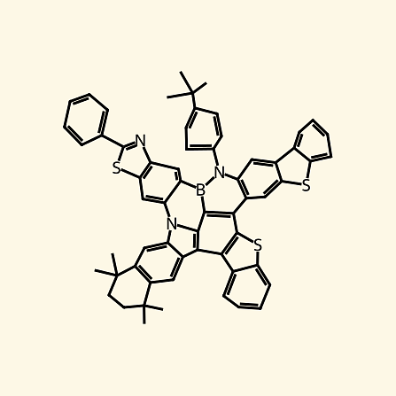 CC(C)(C)c1ccc(N2B3c4cc5nc(-c6ccccc6)sc5cc4-n4c5cc6c(cc5c5c7c(sc8ccccc87)c(c3c54)-c3cc4sc5ccccc5c4cc32)C(C)(C)CCC6(C)C)cc1